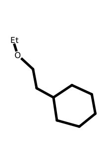 CCOCCC1CCCCC1